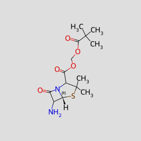 CC(C)(C)C(=O)OCOC(=O)C1N2C(=O)C(N)[C@H]2SC1(C)C